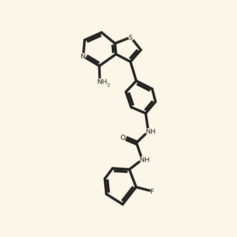 Nc1nccc2scc(-c3ccc(NC(=O)Nc4ccccc4F)cc3)c12